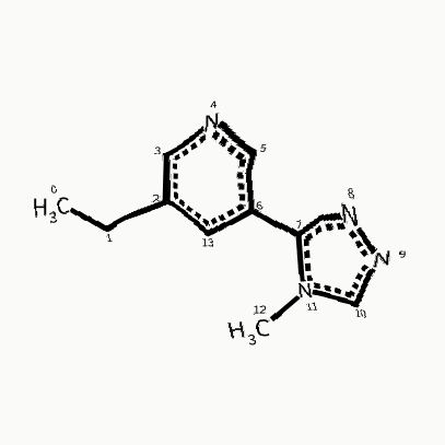 CCc1cncc(-c2nncn2C)c1